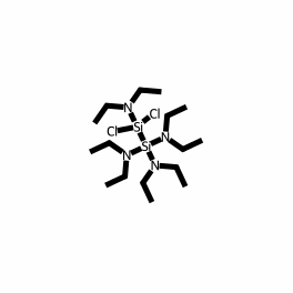 CCN(CC)[Si](Cl)(Cl)[Si](N(CC)CC)(N(CC)CC)N(CC)CC